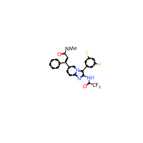 CNC(=O)C=C(c1ccccc1)c1ccc2nc(NC(=O)C(F)(F)F)c(-c3cc(F)cc(F)c3)n2c1